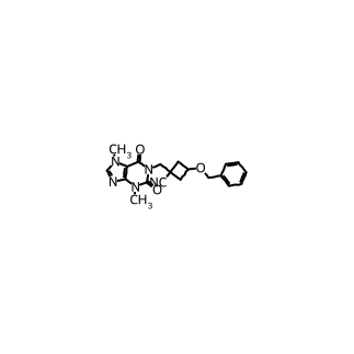 Cn1cnc2c1c(=O)n(CC1(C#N)CC(OCc3ccccc3)C1)c(=O)n2C